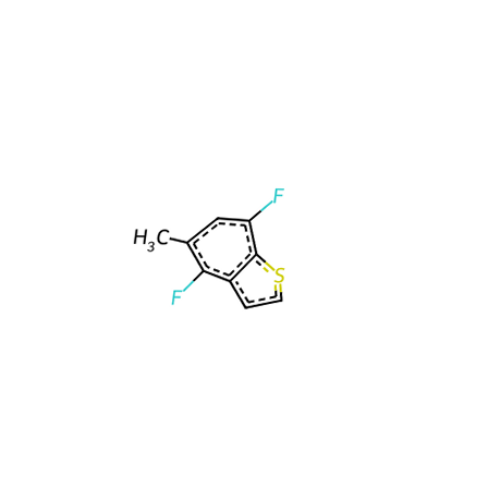 Cc1cc(F)c2sccc2c1F